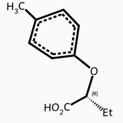 CC[C@@H](Oc1ccc(C)cc1)C(=O)O